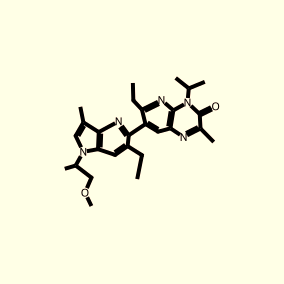 CCc1cc2c(nc1-c1cc3nc(C)c(=O)n(C(C)C)c3nc1CC)c(C)cn2C(C)COC